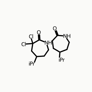 CC(C)C1CCNC(=O)C(Cl)(Cl)C1.CC(C)C1CCNC(=O)CC1